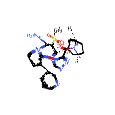 CS(=O)(=O)c1c([C@@H]2C[C@H]3CC[C@@H](C2)N3C(=O)c2nnc[nH]2)nc2c(-c3cccnc3)ccn2c1N